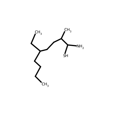 CCCCC(CC)CCC(C)C(N)S